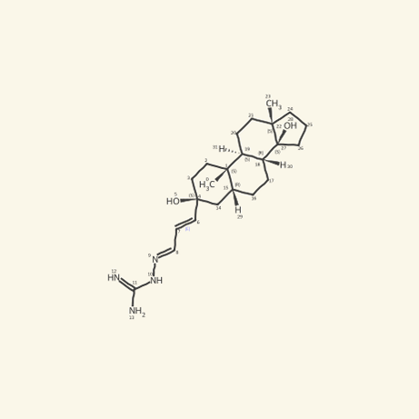 C[C@]12CC[C@@](O)(/C=C/C=NNC(=N)N)C[C@H]1CC[C@@H]1[C@@H]2CC[C@]2(C)CCC[C@]12O